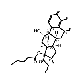 CCCCC(=O)O[C@]1(C(=O)CCl)[C@H](C)C[C@H]2[C@@H]3C[C@H](F)C4=C(F)C(=O)C=C[C@]4(C)[C@@]3(F)[C@@H](O)C[C@@]21C